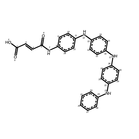 O=C(O)/C=C/C(=O)Nc1ccc(Nc2ccc(Nc3ccc(Nc4ccccc4)cc3)cc2)cc1